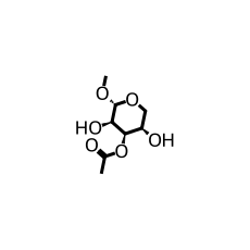 CO[C@@H]1OC[C@@H](O)[C@@H](OC(C)=O)[C@H]1O